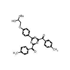 CCCCC(O)COc1ccc(-c2nc(C(=O)c3ccc(C)cc3)nc(C(=O)c3ccc(C)cc3)n2)cc1